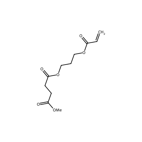 C=CC(=O)OCCCOC(=O)CCC(=O)OC